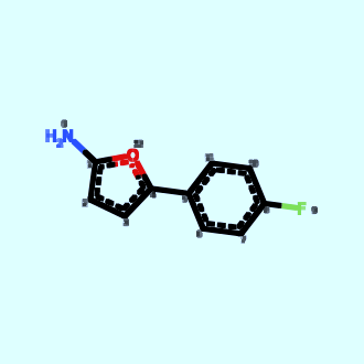 Nc1ccc(-c2ccc(F)cc2)o1